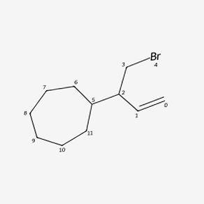 C=CC(CBr)C1CCCCCC1